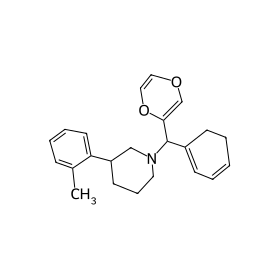 Cc1ccccc1C1CCCN(C(C2=CC=CCC2)C2=COC=CO2)C1